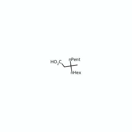 CCCCCCC(C)(CCCCC)CC(=O)O